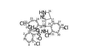 Cc1cccc(Cl)c1S(=O)(=O)N[C@@](C1=NNCC1)(c1ccc(Cl)cc1)c1ccc(Cl)cc1Cl